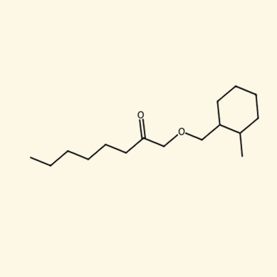 CCCCCCC(=O)COCC1CCCCC1C